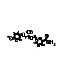 COc1ccc(OCCOC[n+]2cccc(C(N)=O)c2)cc1.[Cl-]